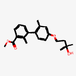 COC(=O)c1cccc(-c2ccc(OCCC(C)(C)O)cc2C)c1C